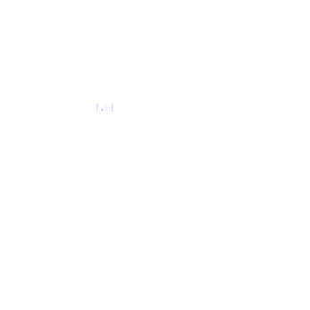 C=CC/C=C/c1ccccc1N